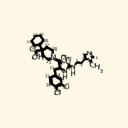 Cn1cncc1CCNC(=O)NC(Cc1ccc(Cl)c(Cl)c1)C(=O)N1CCC(C(=O)O)(C2CCCCC2)CC1